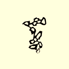 c1ccc(-c2ccc3c4c(cccc24)-c2ccccc2-3)c(-c2ccc(-c3c4ccccc4c(-c4cccc5oc6ccccc6c45)c4ccccc34)cc2)c1